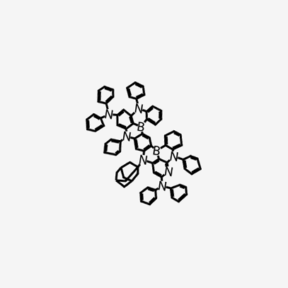 c1ccc(N(c2ccccc2)c2cc3c4c(c2)N(c2ccccc2)c2cc5c(cc2B4c2ccccc2N3c2ccccc2)B2c3ccccc3N(c3ccccc3)c3nc(N(c4ccccc4)c4ccccc4)cc(c32)N5C23CC4CC(CC(C4)C2)C3)cc1